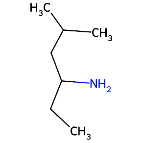 CCC(N)CC(C)C